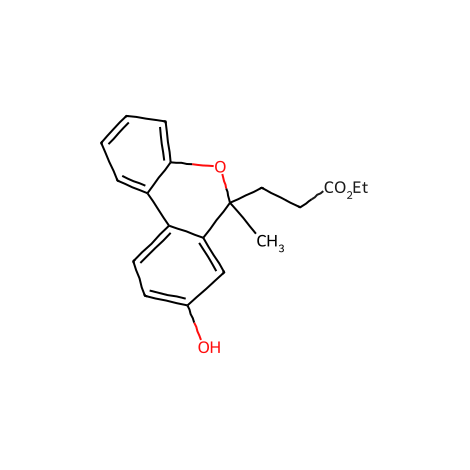 CCOC(=O)CCC1(C)Oc2ccccc2-c2ccc(O)cc21